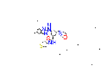 Cc1ccc2nc(Nc3cc(CC(=O)NC4CCSCC4)cc(CN4CCOCC4)c3)ncc2c1